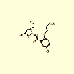 COCCOc1ccc(C#N)cc1C(=O)/N=c1\sc(C(C)(C)C)cn1CC(C)C